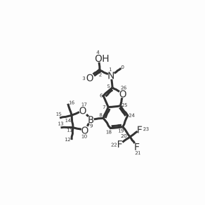 CN(C(=O)O)c1cc2c(B3OC(C)(C)C(C)(C)O3)cc(C(F)(F)F)cc2o1